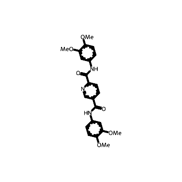 COc1ccc(NC(=O)c2ccc(C(=O)Nc3ccc(OC)c(OC)c3)nc2)cc1OC